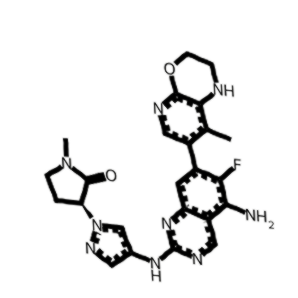 Cc1c(-c2cc3nc(Nc4cnn([C@H]5CCN(C)C5=O)c4)ncc3c(N)c2F)cnc2c1NCCO2